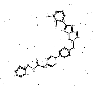 O=C(NC1=CCC(c2ccc(CN3C=CC4=NC(c5cccc(F)c5F)=NC4C3)cc2)C=C1)OCc1ccccc1